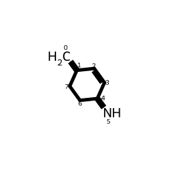 C=C1C=CC(=N)CC1